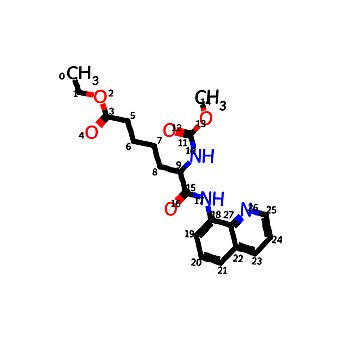 CCOC(=O)CCCCC(NC(=O)OC)C(=O)Nc1cccc2cccnc12